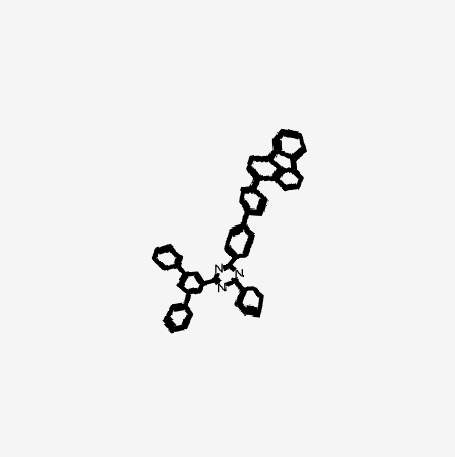 c1ccc(-c2cc(-c3ccccc3)cc(-c3nc(-c4ccccc4)nc(-c4ccc(-c5ccc(-c6ccc7c8c(cccc68)-c6ccccc6-7)cc5)cc4)n3)c2)cc1